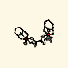 NC1CC2CCCC(C1)N2C(=O)OC(=O)C(=O)OC(=O)N1C2CCCC1CC(N)C2